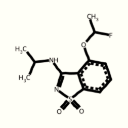 CC(C)NC1=NS(=O)(=O)c2cccc(OC(C)F)c21